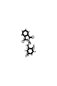 O=C1c2ccccc2C(=O)N1OCc1cc(F)ccc1F